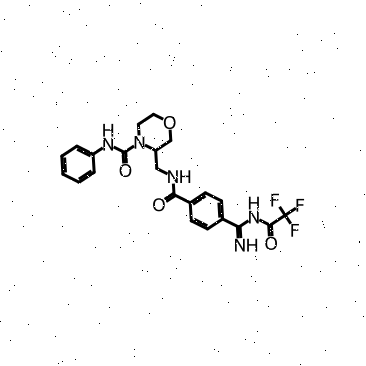 N=C(NC(=O)C(F)(F)F)c1ccc(C(=O)NCC2COCCN2C(=O)Nc2ccccc2)cc1